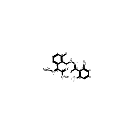 CO/N=C(/C(=O)OC)c1cccc(C)c1CO/N=C(\C)c1c(Cl)cccc1C(F)(F)F